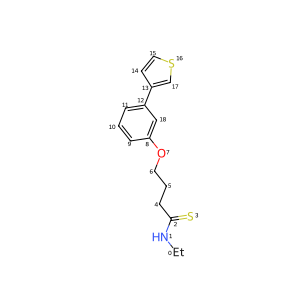 CCNC(=S)CCCOc1cccc(-c2ccsc2)c1